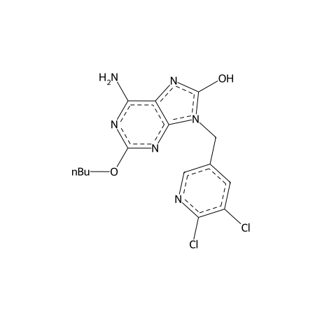 CCCCOc1nc(N)c2nc(O)n(Cc3cnc(Cl)c(Cl)c3)c2n1